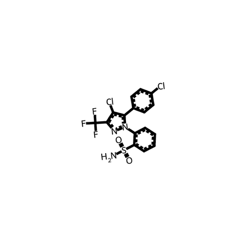 NS(=O)(=O)c1ccccc1-n1nc(C(F)(F)F)c(Cl)c1-c1ccc(Cl)cc1